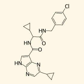 O=C(NC(C(=O)NCc1ccc(Cl)cc1)C1CC1)c1c[nH]c2ncc(C3CC3)nc12